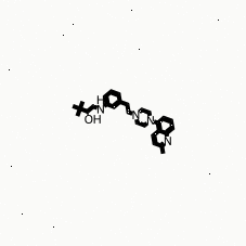 Cc1ccc2c(N3CCN(CCc4cccc(NC[C@H](O)C(C)(C)C)c4)CC3)cccc2n1